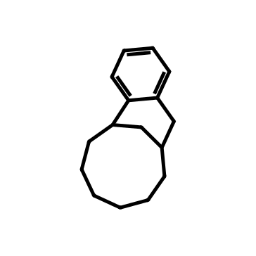 c1ccc2c(c1)CC1CCCCCCC2C1